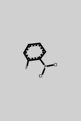 Fc1ccccc1P(Cl)Cl